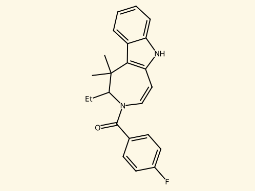 CCC1N(C(=O)c2ccc(F)cc2)C=Cc2[nH]c3ccccc3c2C1(C)C